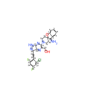 N[C@@H]1c2ccccc2OC12CCN(c1nc3[nH]nc(C#Cc4c(F)cc(F)cc4Cl)c3nc1CO)CC2